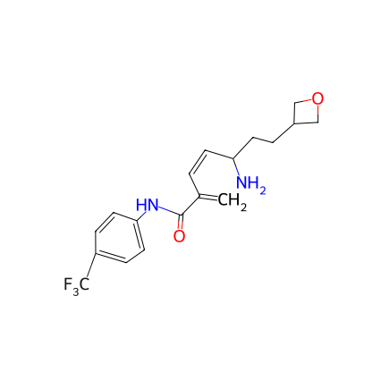 C=C(/C=C\C(N)CCC1COC1)C(=O)Nc1ccc(C(F)(F)F)cc1